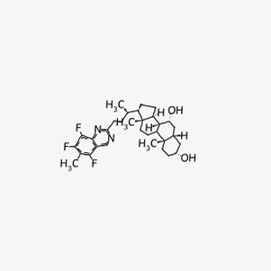 Cc1c(F)c(F)c2nc(CC[C@@H](C)[C@H]3CC[C@H]4[C@H]5C(CC[C@]34C)[C@@]3(C)CC[C@@H](O)C[C@H]3C[C@H]5O)ncc2c1F